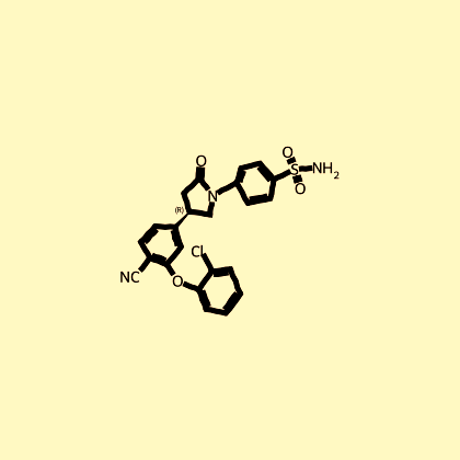 N#Cc1ccc([C@H]2CC(=O)N(c3ccc(S(N)(=O)=O)cc3)C2)cc1Oc1ccccc1Cl